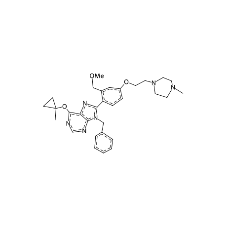 COCc1cc(OCCN2CCN(C)CC2)ccc1-c1nc2c(OC3(C)CC3)ncnc2n1Cc1ccccc1